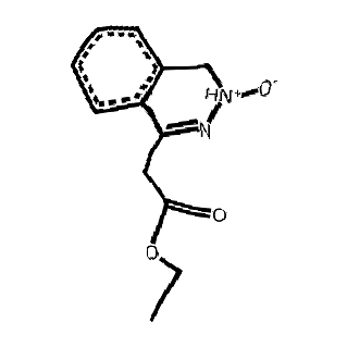 CCOC(=O)CC1=N[NH+]([O-])Cc2ccccc21